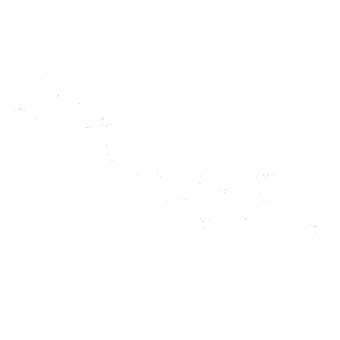 COc1cc(N)c(Cl)cc1C(=O)NC1CCN(CCC(=O)Nc2ccc3[nH]ccc3c2)CC1OC